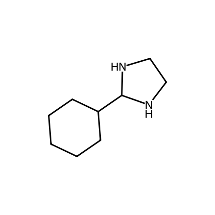 C1CCC(C2NCCN2)CC1